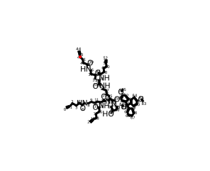 C#CCCCC(=O)NCCCCC(NC(=O)CCCC#C)C(=O)N[C@@H](CCCCNC(=O)[C@H](CCCCNC(=O)CCCC#C)NC(=O)CCCC#C)C(=O)N1C[C@H](O)C[C@H]1COC(c1ccccc1)(c1ccc(OC)cc1)c1ccc(OC)cc1